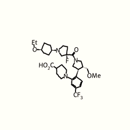 CCO[C@H]1CC[C@@H](N2CC[C@](F)(C(=O)N3C[C@H](COC)[C@@H](c4ccc(C(F)(F)F)cc4N4CCC(C(=O)O)CC4)C3)C2)CC1